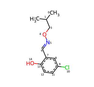 CC(C)CON=Cc1cc(Cl)ccc1O